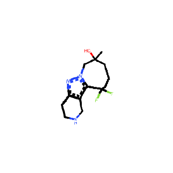 CC1(O)CCC(F)(F)c2c3c(nn2C1)CCNC3